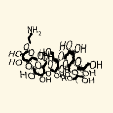 C[C@H](O)C(CO)O[C@@H](O[C@@H]1C(CO)O[C@H](O[C@H]2C(CO)O[C@H](O[C@@H]3C(CO)O[C@@H](O[C@@H]4C(CO)O[C@@H](OCCCN)[C@@H](O)C4O)[C@@H](O)C3O)C(O)[C@H]2O)C(O)[C@H]1O)[C@@H](O)CO